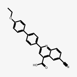 CCOc1ccc(-c2ccc(-c3cc(C(=O)O)c4cc(C#N)ccc4n3)cc2)cc1